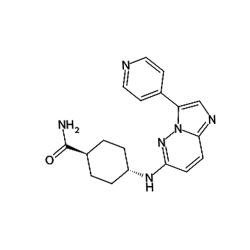 NC(=O)[C@H]1CC[C@H](Nc2ccc3ncc(-c4ccncc4)n3n2)CC1